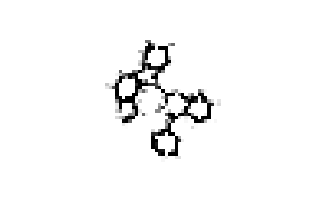 c1ccc(-c2nc(-n3c4ccccc4c4ccc5occc5c43)nc3ccccc23)cc1